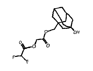 O=C(COC(=O)C(F)F)OCC12CC3CC(CC(O)(C3)C1)C2